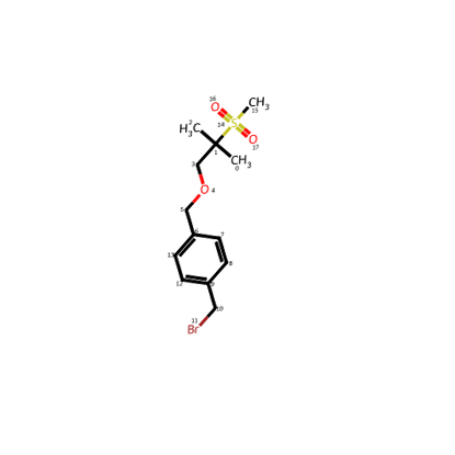 CC(C)(COCc1ccc(CBr)cc1)S(C)(=O)=O